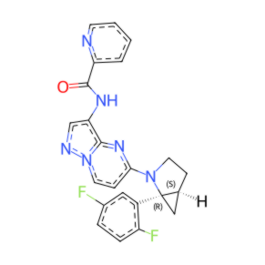 O=C(Nc1cnn2ccc(N3CC[C@H]4C[C@]43c3cc(F)ccc3F)nc12)c1ccccn1